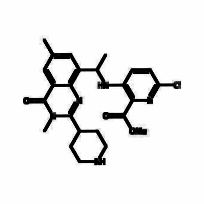 COC(=O)c1nc(Cl)ccc1NC(C)c1cc(C)cc2c(=O)n(C)c(C3CCNCC3)nc12